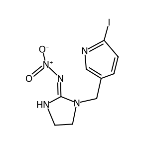 O=[N+]([O-])N=C1NCCN1Cc1ccc(I)nc1